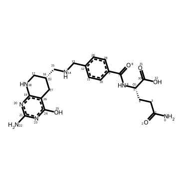 NC(=O)CC[C@H](NC(=O)c1ccc(CNC[C@H]2CNc3nc(N)nc(O)c3C2)cc1)C(=O)O